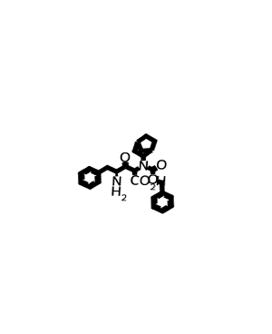 N[C@@H](Cc1ccccc1)C(=O)C(C(=O)O)N(C(=O)OCc1ccccc1)C1CC2CCC1C2